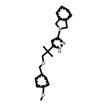 COc1ccc(COCC(C)(C)c2cc(N3Cc4ccccc4C3)n[nH]2)cc1